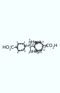 CCCCCCCS(CCCCCCC)(c1ccc(C(=O)O)cc1)c1ccc(C(=O)O)cc1